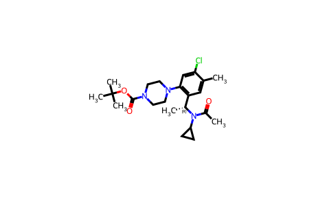 CC(=O)N(C1CC1)[C@H](C)c1cc(C)c(Cl)cc1N1CCN(C(=O)OC(C)(C)C)CC1